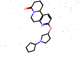 O=C1CCCC2c3ccc(OC4CCN(C5CCCC5)C4)nc3CCN12